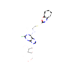 C[C@H](CSc1nc2ccccc2o1)Nc1nc(Cl)nc2c1ncn2[C@@H]1O[C@H](CO)[C@@H](O)[C@H]1O